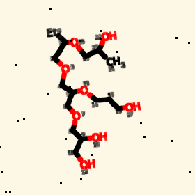 CCC(COCC(COCC(O)CO)OCCCO)OCC(C)O